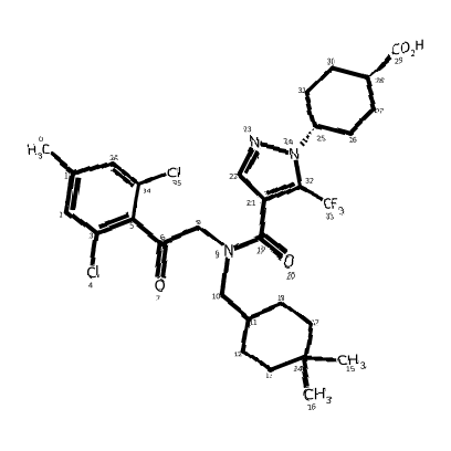 Cc1cc(Cl)c(C(=O)CN(CC2CCC(C)(C)CC2)C(=O)c2cnn([C@H]3CC[C@H](C(=O)O)CC3)c2C(F)(F)F)c(Cl)c1